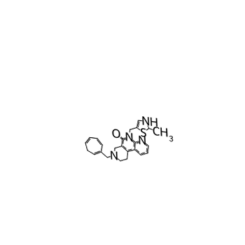 CC1NC=C(Cn2c(=O)c3c(c4cccnc42)CCN(CC2=CCC=CC=C2)C3)S1